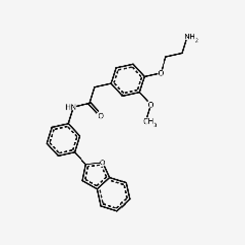 COc1cc(CC(=O)Nc2cccc(-c3cc4ccccc4o3)c2)ccc1OCCN